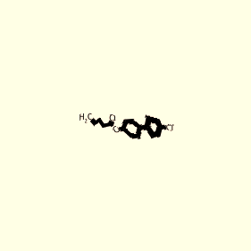 C=CCCC(=O)OC1CCC(c2ccc(Cl)cc2)CC1